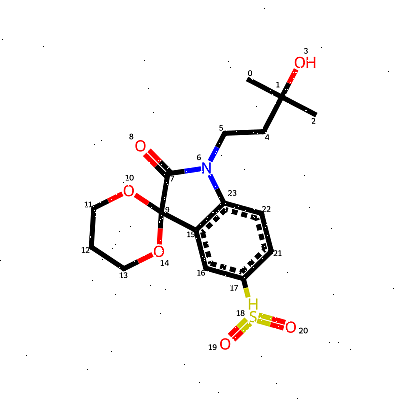 CC(C)(O)CCN1C(=O)C2(OCCCO2)c2cc([SH](=O)=O)ccc21